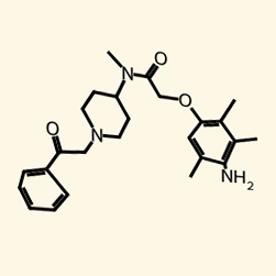 Cc1cc(OCC(=O)N(C)C2CCN(CC(=O)c3ccccc3)CC2)c(C)c(C)c1N